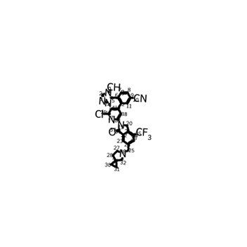 Cn1cnnc1-c1ccc(C#N)cc1-c1cc(Cl)nc(N2Cc3c(cc(CN4CCC5(CC5)C4)cc3C(F)(F)F)C2=O)c1